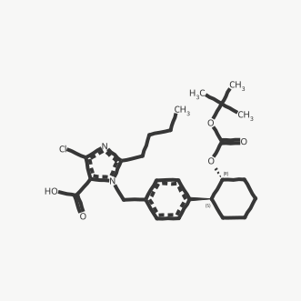 CCCCc1nc(Cl)c(C(=O)O)n1Cc1ccc([C@@H]2CCCC[C@H]2OC(=O)OC(C)(C)C)cc1